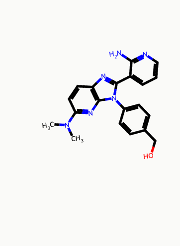 CN(C)c1ccc2nc(-c3cccnc3N)n(-c3ccc(CO)cc3)c2n1